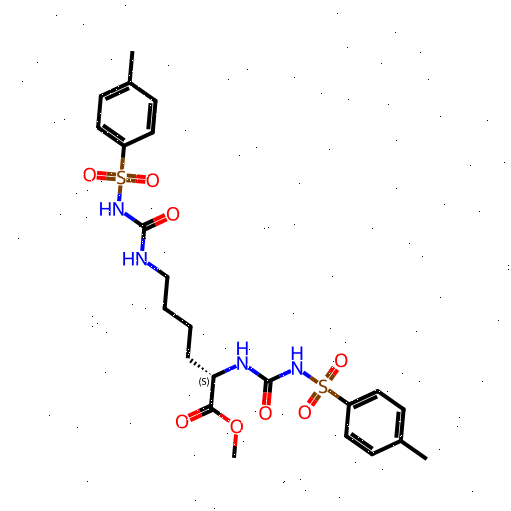 COC(=O)[C@H](CCCCNC(=O)NS(=O)(=O)c1ccc(C)cc1)NC(=O)NS(=O)(=O)c1ccc(C)cc1